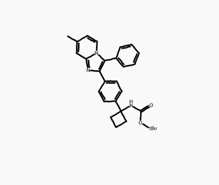 Cc1ccn2c(-c3ccccc3)c(-c3ccc(C4(NC(=O)OC(C)(C)C)CCC4)cc3)nc2c1